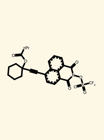 CCCC(=O)OC1(C#Cc2ccc3c4c(cccc24)C(=O)N(OS(=O)(=O)C(F)(F)F)C3=O)CCCCC1